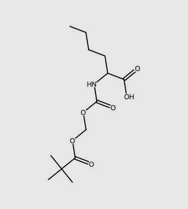 CCCCC(NC(=O)OCOC(=O)C(C)(C)C)C(=O)O